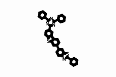 c1ccc(-c2nc(-c3ccccc3)nc(-c3ccc4sc5cc(-c6ccc7nc(-c8ccccc8)sc7c6)ccc5c4c3)n2)cc1